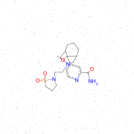 COC1(c2ccnc(C(N)=O)c2)C2CCCC1CN(CCN1CCCS1(=O)=O)C2